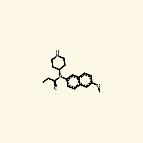 CCC(=O)N(c1ccc2cc(OC)ccc2c1)C1CCNCC1